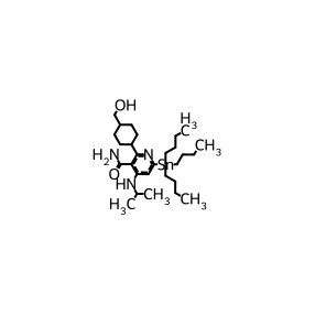 CCC[CH2][Sn]([CH2]CCC)([CH2]CCC)[c]1cc(NC(C)C)c(C(N)=O)c(C2CCC(CO)CC2)n1